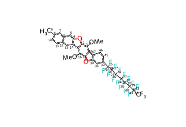 COc1c2oc3cc4cc(C)ccc4cc3c2c(OC)c2oc3cc(C(F)(F)C(F)(F)C(F)(F)C(F)(F)C(F)(F)C(F)(F)C(F)(F)C(F)(F)F)ccc3c12